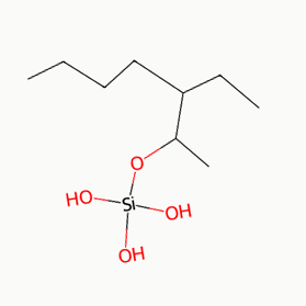 CCCCC(CC)C(C)O[Si](O)(O)O